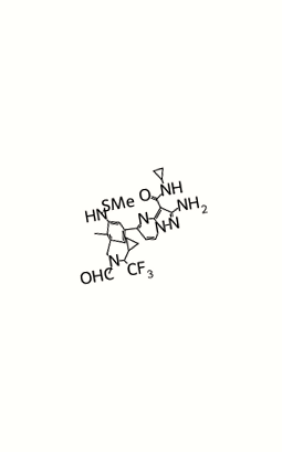 CSNc1cc(-c2ccn3nc(N)c(C(=O)NC4CC4)c3n2)cc(CN(C=O)C(C2CC2)C(F)(F)F)c1C